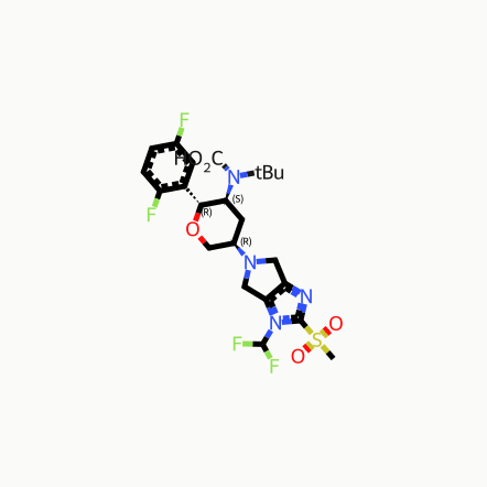 CC(C)(C)N(C(=O)O)[C@H]1C[C@@H](N2Cc3nc(S(C)(=O)=O)n(C(F)F)c3C2)CO[C@@H]1c1cc(F)ccc1F